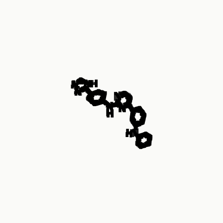 c1ccc(Nc2cccc(-c3ccnc(Nc4ccc(-c5nnc[nH]5)cc4)n3)c2)cc1